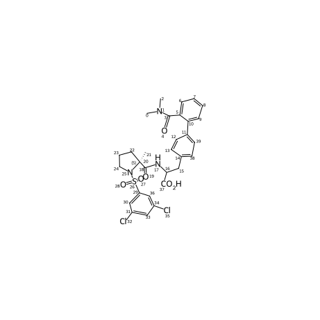 CN(C)C(=O)c1ccccc1-c1ccc(CC(NC(=O)[C@]2(C)CCCN2S(=O)(=O)c2cc(Cl)cc(Cl)c2)C(=O)O)cc1